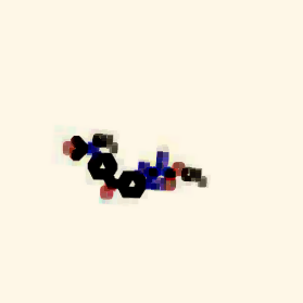 COC(=O)Nc1nc2cc(C(=O)c3ccc(N(C)C4COC4)cc3)ccc2[nH]1